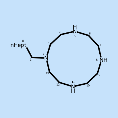 CCCCCCCCN1CCNCCNCCNCC1